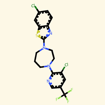 FC(F)(F)c1cnc(N2CCCN(c3nc4ccc(Cl)cc4s3)CC2)c(Cl)c1